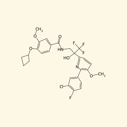 COc1cc(C(=O)NCC(O)(c2ccc(OC)c(-c3ccc(F)c(Cl)c3)n2)C(F)(F)F)ccc1OC1CCC1